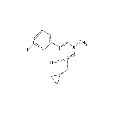 Cn1cc(CC2CC2)c(=O)c(-c2cccc(F)c2)c1